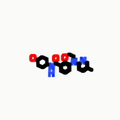 Cc1ccc(N2CCOc3c(C(=O)NC4CCC(=O)CC4)cccc32)nc1